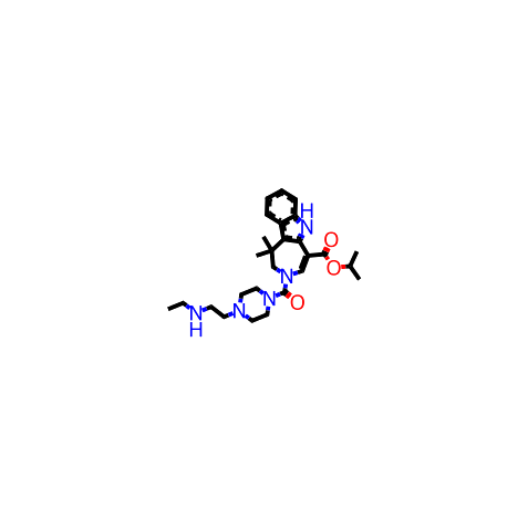 CCNCCN1CCN(C(=O)N2C=C(C(=O)OC(C)C)c3[nH]c4ccccc4c3C(C)(C)C2)CC1